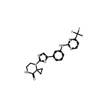 O=C1NCCN(c2ncc(-c3cccc(Nc4nccc(C(F)(F)F)n4)c3)o2)C12CC2